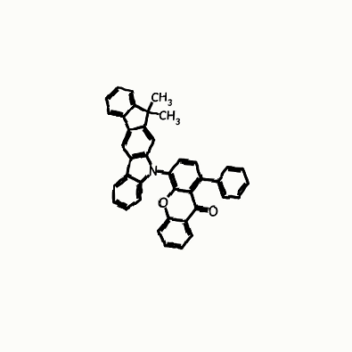 CC1(C)c2ccccc2-c2cc3c4ccccc4n(-c4ccc(-c5ccccc5)c5c(=O)c6ccccc6oc45)c3cc21